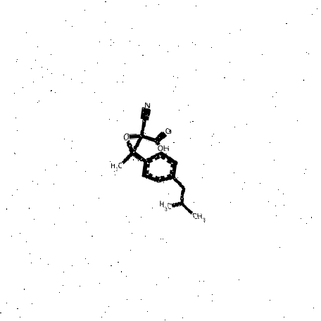 CC(C)Cc1ccc(C2(C)OC2(C#N)C(=O)O)cc1